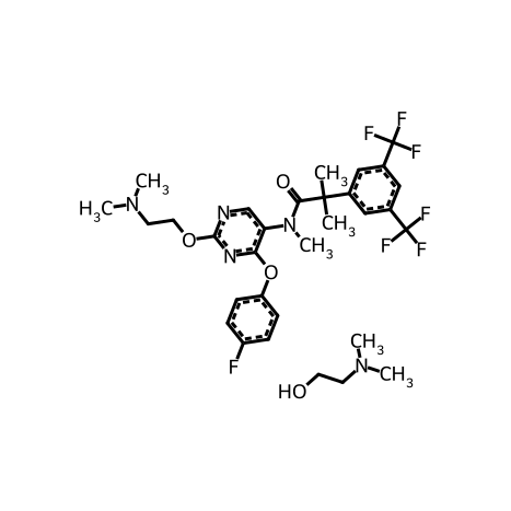 CN(C)CCO.CN(C)CCOc1ncc(N(C)C(=O)C(C)(C)c2cc(C(F)(F)F)cc(C(F)(F)F)c2)c(Oc2ccc(F)cc2)n1